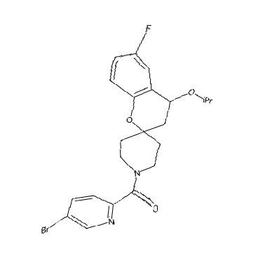 CC(C)OC1CC2(CCN(C(=O)c3ccc(Br)cn3)CC2)Oc2ccc(F)cc21